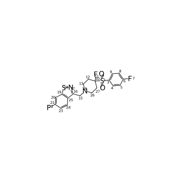 O=S(=O)(c1ccc(F)cc1)C1(F)CCN(Cc2nsc3cc(F)ccc23)CC1